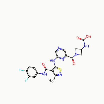 Cc1nsc(Nc2cncc(C(=O)N3CC(NC(=O)O)C3)n2)c1C(=O)Nc1ccc(F)c(F)c1